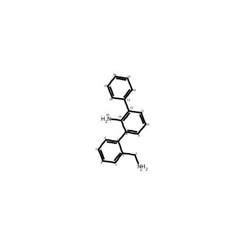 NCc1ccccc1-c1cccc(-c2ccccc2)c1N